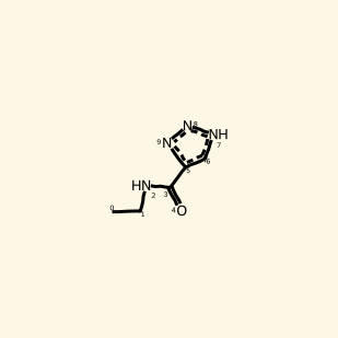 CCNC(=O)c1[c][nH]nn1